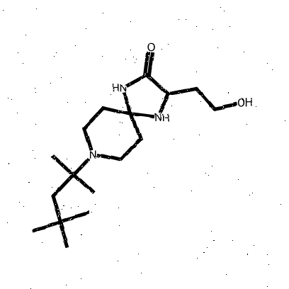 CC(C)(C)CC(C)(C)N1CCC2(CC1)NC(=O)C(CCO)N2